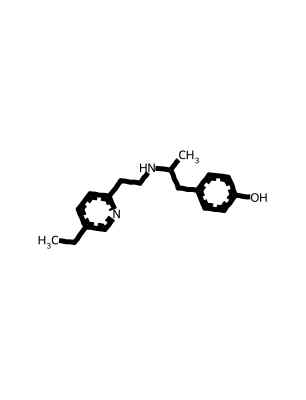 CCc1ccc(CCNC(C)Cc2ccc(O)cc2)nc1